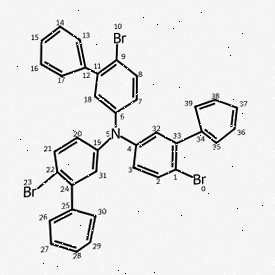 Brc1ccc(N(c2ccc(Br)c(-c3ccccc3)c2)c2ccc(Br)c(-c3ccccc3)c2)cc1-c1ccccc1